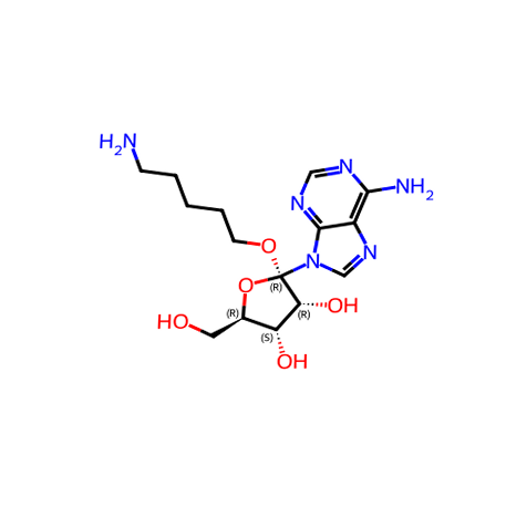 NCCCCCO[C@@]1(n2cnc3c(N)ncnc32)O[C@H](CO)[C@@H](O)[C@H]1O